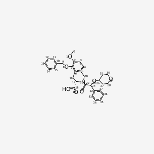 COc1ccc2c(c1OCc1ccccc1)C[C@@H](C(=O)O)N(C(=O)[C@@H](OC1CCOCC1)c1ccccc1)C2